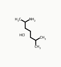 CC(C)CCCC(C)N.Cl